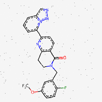 O=C1c2ccc(-c3cccc4cnnn34)nc2CCN1Cc1cc(OC(F)(F)F)ccc1F